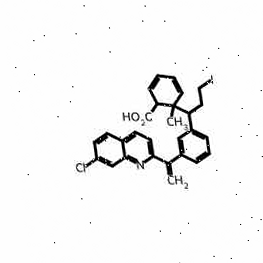 C=C(c1cccc(C(CCI)C2(C)C=CC=CC2C(=O)O)c1)c1ccc2ccc(Cl)cc2n1